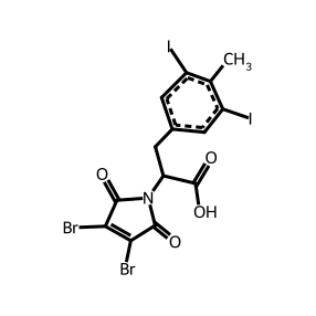 Cc1c(I)cc(CC(C(=O)O)N2C(=O)C(Br)=C(Br)C2=O)cc1I